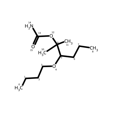 CCCCOC(CCC)C(C)(C)OC(N)=O